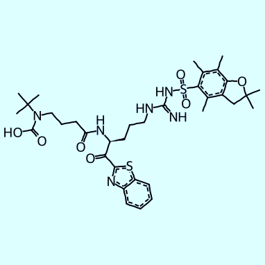 Cc1c(C)c(S(=O)(=O)NC(=N)NCCC[C@H](NC(=O)CCCN(C(=O)O)C(C)(C)C)C(=O)c2nc3ccccc3s2)c(C)c2c1OC(C)(C)C2